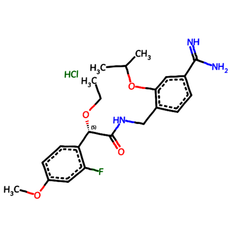 CCO[C@H](C(=O)NCc1ccc(C(=N)N)cc1OC(C)C)c1ccc(OC)cc1F.Cl